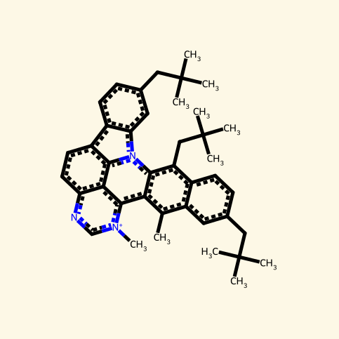 Cc1c2cc(CC(C)(C)C)ccc2c(CC(C)(C)C)c2c1c1c3c(ccc4c5ccc(CC(C)(C)C)cc5n2c43)nc[n+]1C